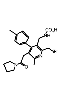 Cc1ccc(-c2c(CC(=O)N3CCCC3)c(C)nc(CC(C)C)c2CNC(=O)O)cc1